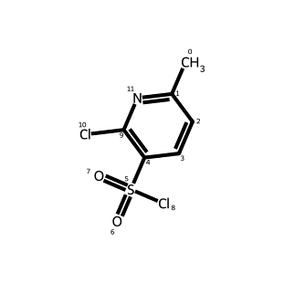 Cc1ccc(S(=O)(=O)Cl)c(Cl)n1